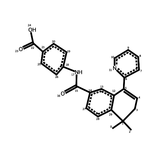 CC1(C)CC=C(c2ccccn2)c2cc(C(=O)Nc3ccc(C(=O)O)cc3)ccc21